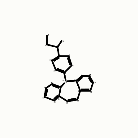 CCC(C)c1ccc(N2c3ccccc3C=Cc3ccccc32)cc1